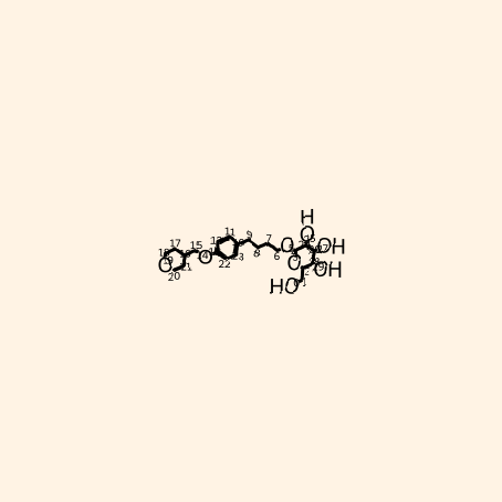 OCC1OC(OCCCCc2ccc(OCC3CCOCC3)cc2)C(O)C(O)C1O